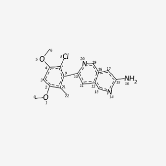 COc1cc(OC)c(Cl)c(-c2cc3cnc(N)cc3cn2)c1C